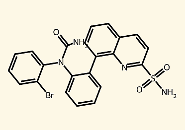 NC(=O)N(c1ccccc1Br)c1ccccc1-c1cccc2ccc(S(N)(=O)=O)nc12